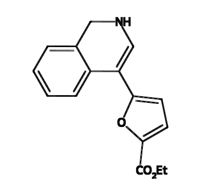 CCOC(=O)c1ccc(C2=CNCc3ccccc32)o1